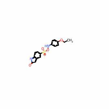 CCOc1ccc(NOS(=O)(=O)c2ccc3c(c2)=CC(=O)N=3)cc1